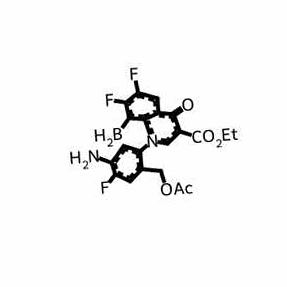 Bc1c(F)c(F)cc2c(=O)c(C(=O)OCC)cn(-c3cc(N)c(F)cc3COC(C)=O)c12